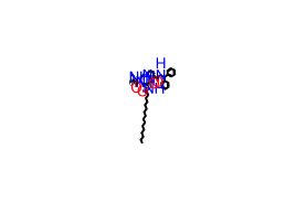 CCCCCCCCCCCCCCCC(=O)N[C@H]1CN(C(=O)[C@@H](C)NC)CCN2CC[C@@H](C(=O)NC(c3ccccc3)c3ccccc3)N2C1=O